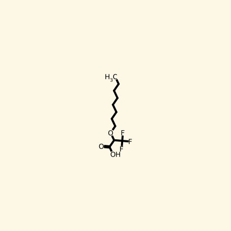 CCCCCCCCOC(C(=O)O)C(F)(F)F